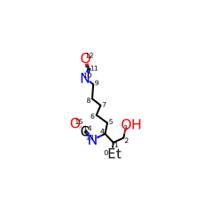 CCC(CO)C(CCCCCN=C=O)N=C=O